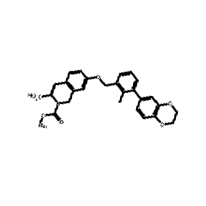 Cc1c(COc2ccc3c(c2)CN(C(=O)OC(C)(C)C)C(C(=O)O)C3)cccc1-c1ccc2c(c1)OCCO2